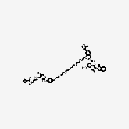 C=C1c2ccccc2CN1[C@H](C(=O)N1C[C@H](O)C[C@H]1C(=O)NCc1ccc(-c2scnc2C)cc1OCCOCCOCCOCCOCCOCCOc1ccc(Nc2ncc(Br)c(NCCCN(C)C(=O)C3CCC3)n2)cc1)C(C)C